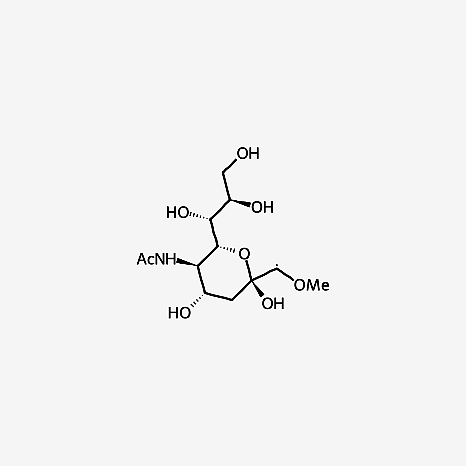 CO[CH][C@]1(O)C[C@H](O)[C@@H](NC(C)=O)[C@H]([C@H](O)[C@H](O)CO)O1